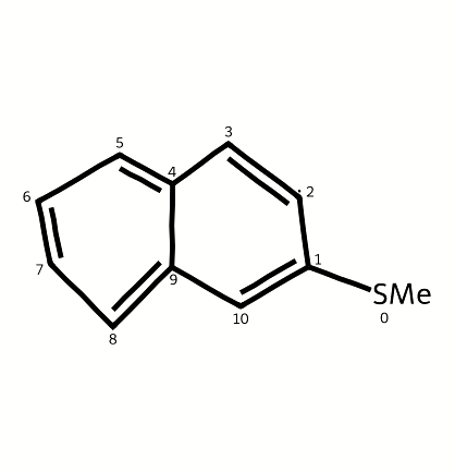 CSc1[c]cc2ccccc2c1